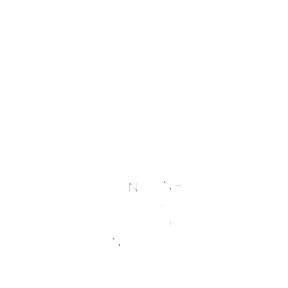 O=C1NC([C@H]2CC[C@@H](CC=C(F)F)CC2)=NC12CCNCC2